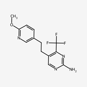 COc1ccc(CCc2cnc(N)nc2C(F)(F)F)cn1